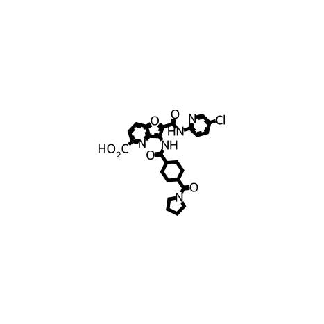 O=C(O)c1ccc2oc(C(=O)Nc3ccc(Cl)cn3)c(NC(=O)C3CCC(C(=O)N4CCCC4)CC3)c2n1